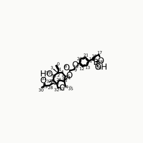 C=C[C@]1(C)C[C@@H](OC(=O)COc2ccc(C3=CCOB3O)cc2)[C@@]2(C)C[C@](CCC(C)=O)(CC[C@H]2C)[C@@H](C)[C@@H]1O